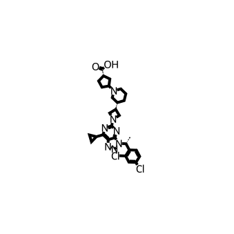 C[C@H](c1ccc(Cl)cc1Cl)n1nnc2c(C3CC3)nc(N3CC([C@H]4CCCN(C5CC[C@H](C(=O)O)C5)C4)C3)nc21